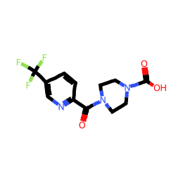 O=C(O)N1CCN(C(=O)c2ccc(C(F)(F)F)cn2)CC1